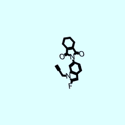 C#CCn1c(F)cc2ccc(N3C(=O)C4=C(CCCC4)C3=O)cc21